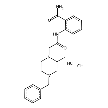 Cl.Cl.NC(=O)c1ccccc1NC(=O)CN1CCN(Cc2ccccc2)CC1I